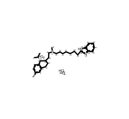 CC(C)[C@H]1c2ccc(F)cc2CC[C@]1(O)CCN(C)CCCCCCCc1nc2ccccc2[nH]1.Cl.Cl